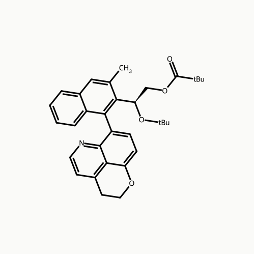 Cc1cc2ccccc2c(-c2ccc3c4c(ccnc24)CCO3)c1[C@@H](COC(=O)C(C)(C)C)OC(C)(C)C